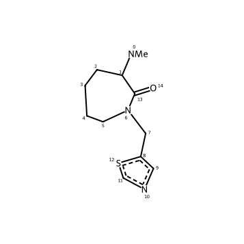 CNC1CCCCN(Cc2cncs2)C1=O